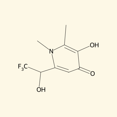 Cc1c(O)c(=O)cc(C(O)C(F)(F)F)n1C